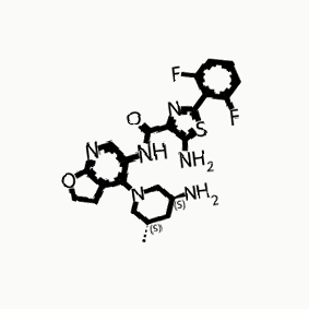 C[C@H]1C[C@H](N)CN(c2c(NC(=O)c3nc(-c4c(F)cccc4F)sc3N)cnc3c2CCO3)C1